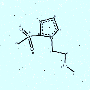 COCCn1ccnc1S(C)(=O)=O